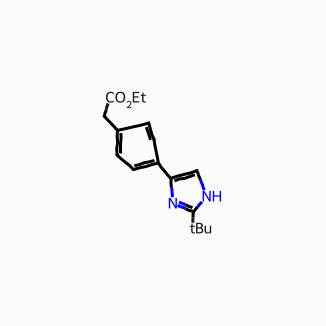 CCOC(=O)Cc1ccc(-c2c[nH]c(C(C)(C)C)n2)cc1